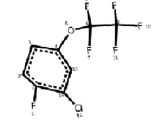 Fc1ccc(OC(F)(F)C(F)(F)F)cc1Cl